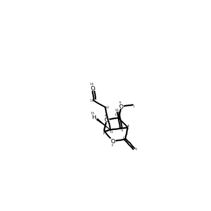 C=C1OC2OC(OC)C1C(=C)[C@H]2CC=O